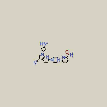 CN[C@H]1C[C@H](n2cc(C#N)c3ccc(N4CCN(c5cccc(C(=O)N(C)C)n5)CC4)nc32)C1